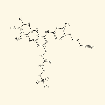 C#CCOCCC(=O)N(C)CC(=O)Nc1cc(COC(=O)NCCS(C)(=O)=O)ccc1O[C@@H]1OC(C(C)=O)[C@@H](C)[C@H](C)C1OC(C)=O